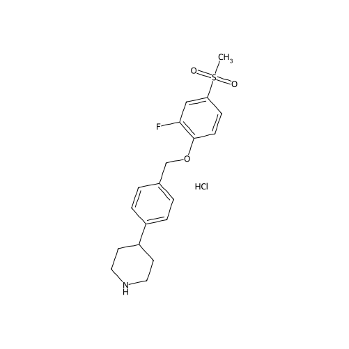 CS(=O)(=O)c1ccc(OCc2ccc(C3CCNCC3)cc2)c(F)c1.Cl